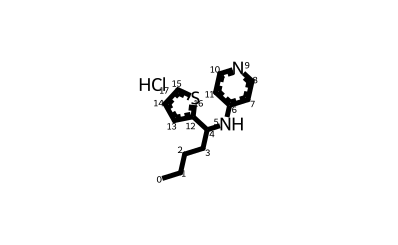 CCCCC(Nc1ccncc1)c1cccs1.Cl